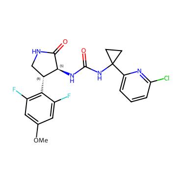 COc1cc(F)c([C@@H]2CNC(=O)[C@H]2NC(=O)NC2(c3cccc(Cl)n3)CC2)c(F)c1